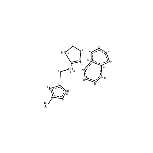 C1=NCCN1.CCc1nc(C)c[nH]1.c1ccc2ncccc2c1